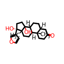 C[C@]12CCC(=O)C[C@H]1CC[C@@H]1[C@@H]2CC[C@]2(C)[C@@](O)(c3ccoc3)CC[C@]12O